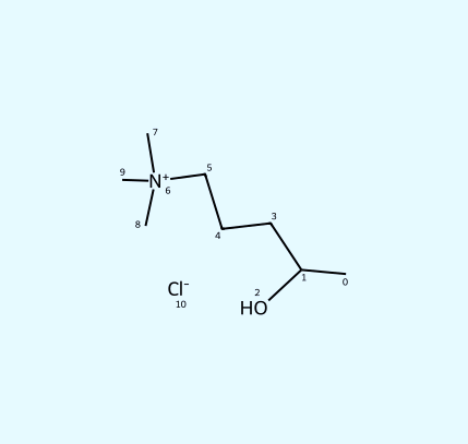 CC(O)CCC[N+](C)(C)C.[Cl-]